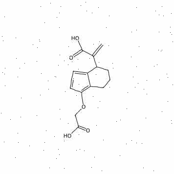 C=C(C(=O)O)C1CCCc2c(OCC(=O)O)cccc21